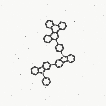 c1ccc(-n2c3ccccc3c3ccc(-c4ccc5c6ccccc6n(-c6ccc(-c7cc8c9ccccc9c9ccccc9c8c8ccccc78)cc6)c5c4)cc32)cc1